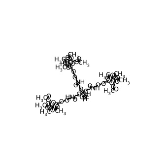 CC(=O)NC1C(OCCOCCOCCNC(=O)CCOCC(COCCC(=O)NCCOCCOCCOC2OC(COC(C)=O)C(OC(C)=O)C(OC(C)=O)C2NC(C)=O)(COCCC(=O)NCCOCCOCCOC2OC(COC(C)=O)C(OC(C)=O)C(OC(C)=O)[C@@H]2NC(C)=O)NC(=O)C(F)(F)F)OC(COC(C)=O)C(OC(C)=O)C1OC(C)=O